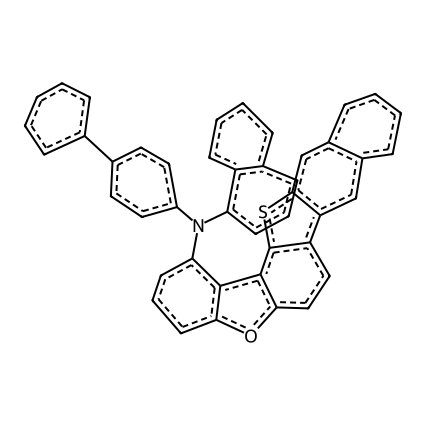 c1ccc(-c2ccc(N(c3cccc4ccccc34)c3cccc4oc5ccc6c7cc8ccccc8cc7sc6c5c34)cc2)cc1